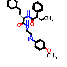 CC[C@@H](C(=O)N[C@@H](CCC1CCCCC1)C(=O)NCCNc1ccc(OC)cc1)c1ccccc1